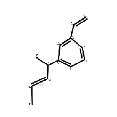 C=[C]c1cccc(C(C)/C=C/C)c1